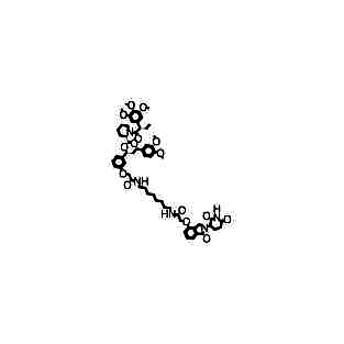 CC[C@H](C(=O)N1CCCC[C@H]1C(=O)O[C@H](CCc1ccc(OC)c(OC)c1)c1cccc(OCC(=O)NCCCCCCCCNC(=O)COc2cccc3c2CN(C2CCC(=O)NC2=O)C3=O)c1)c1cc(OC)c(OC)c(OC)c1